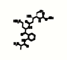 CC(C)C[C@H](NC(=O)OC(C)(C)C)[C@@H](O)CC(=O)NC(CCC(=O)O)C(=O)c1ccccc1NC(=O)C(C)N